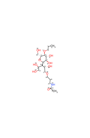 CCCO[C@H]1[C@H](O)[C@@H](O)[C@@H](C([C@H](O)CO)[C@H](O)COCCCNC(C)=O)O[C@@H]1CO